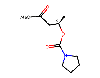 COC(=O)C[C@@H](C)OC(=O)N1CCCC1